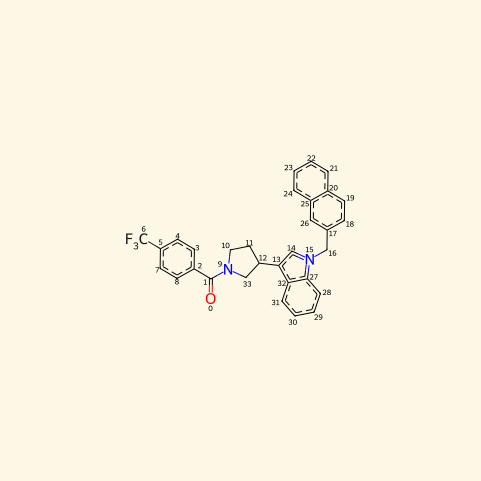 O=C(c1ccc(C(F)(F)F)cc1)N1CCC(c2cn(Cc3ccc4ccccc4c3)c3ccccc23)C1